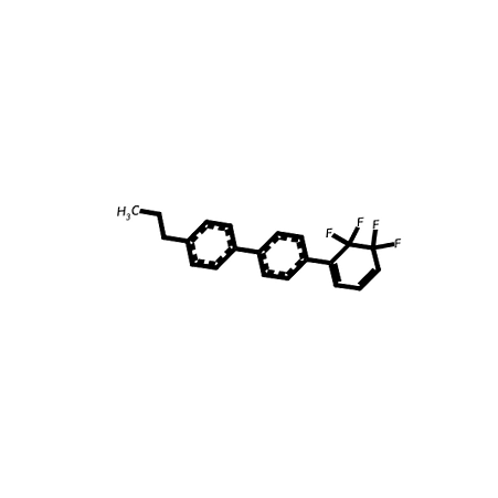 CCCc1ccc(-c2ccc(C3=CC=CC(F)(F)C3(F)F)cc2)cc1